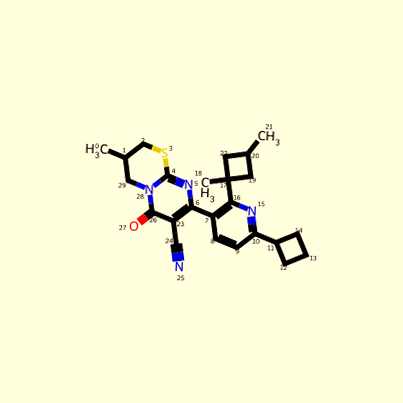 CC1CSc2nc(-c3ccc(C4CCC4)nc3C3(C)CC(C)C3)c(C#N)c(=O)n2C1